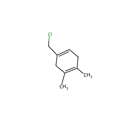 CC1=C(C)CC(CCl)=CC1